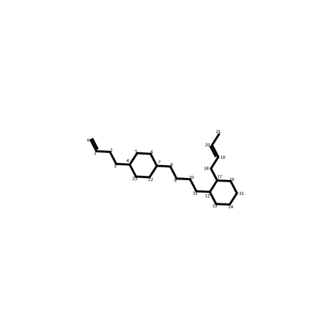 C=CCCC1CCC(CCCCC2CCCCC2CC=CC)CC1